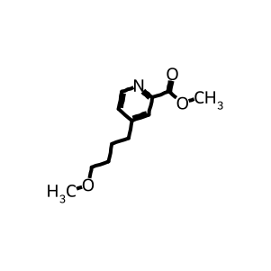 COCCCCc1ccnc(C(=O)OC)c1